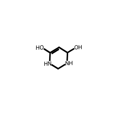 OC1=CC(O)NCN1